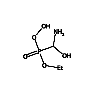 CCOP(=O)(OO)C(N)O